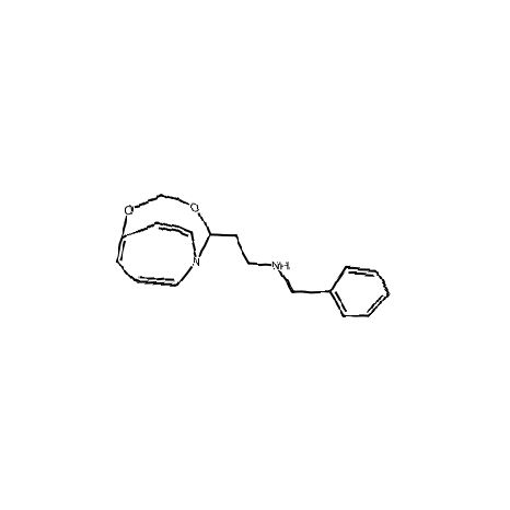 C1=CN2C=CC(=C1)OCOC2CCNCc1ccccc1